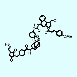 COc1ccc(/C=C/C(=O)N2CC(CCl)c3c2cc(NC(=O)OC2CCCC4(C2)OOC2(O4)C4CC5CC2CC(NC(=O)C2CCC(CN6C(=O)CC(SCS)C6=O)CC2)(C5)C4)c2ccccc32)cc1